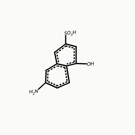 Nc1[c]c2cc(S(=O)(=O)O)cc(O)c2cc1